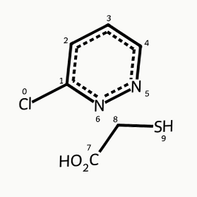 Clc1cccnn1.O=C(O)CS